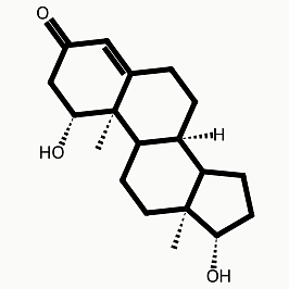 C[C@]12CCC3[C@@H](CCC4=CC(=O)C[C@@H](O)[C@@]43C)C1CC[C@@H]2O